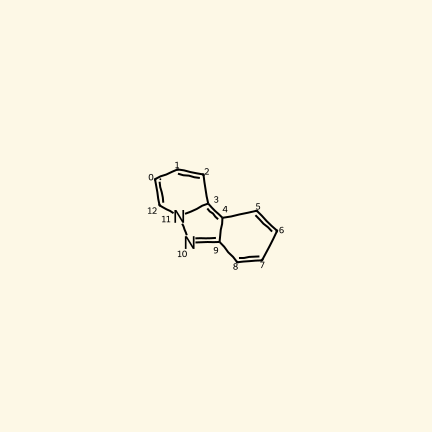 [c]1ccc2c3ccccc3nn2c1